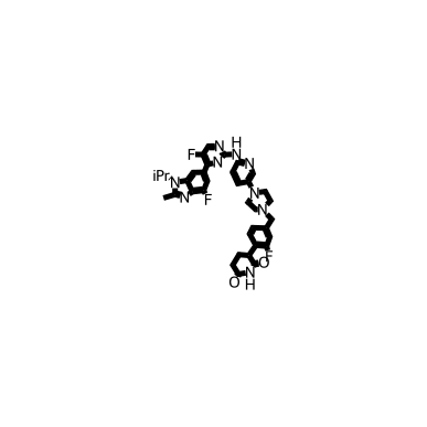 Cc1nc2c(F)cc(-c3nc(Nc4ccc(N5CCN(Cc6ccc(C7CCC(=O)NC7=O)c(F)c6)CC5)cn4)ncc3F)cc2n1C(C)C